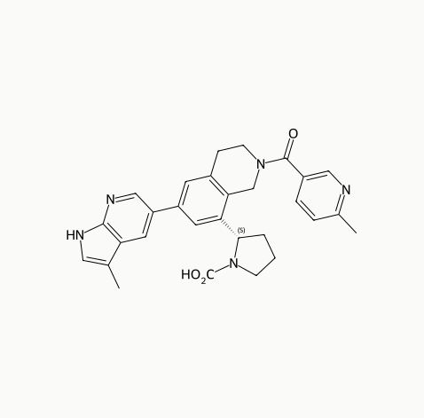 Cc1ccc(C(=O)N2CCc3cc(-c4cnc5[nH]cc(C)c5c4)cc([C@@H]4CCCN4C(=O)O)c3C2)cn1